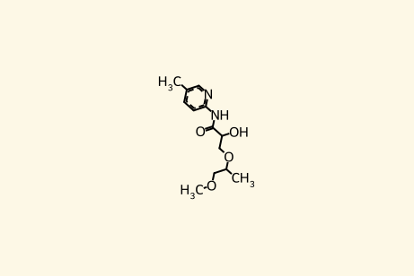 COCC(C)OCC(O)C(=O)Nc1ccc(C)cn1